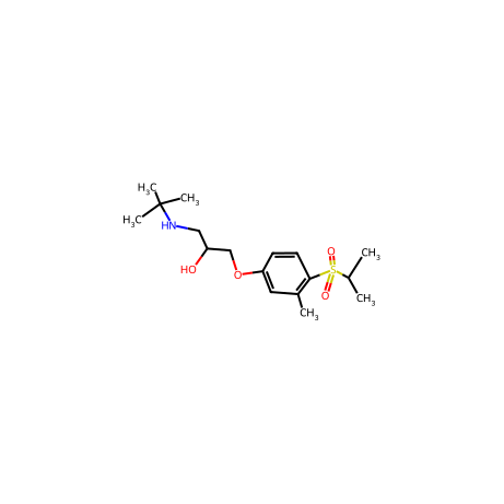 Cc1cc(OCC(O)CNC(C)(C)C)ccc1S(=O)(=O)C(C)C